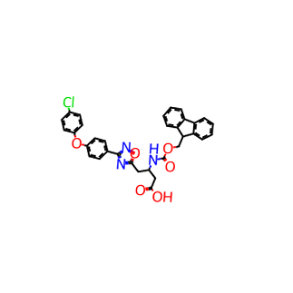 O=C(O)CC(Cc1nc(-c2ccc(Oc3ccc(Cl)cc3)cc2)no1)NC(=O)OCC1c2ccccc2-c2ccccc21